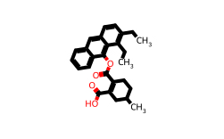 CCc1ccc2cc3ccccc3c(OC(=O)C3=C(C(=O)O)CC(C)CC3)c2c1CC